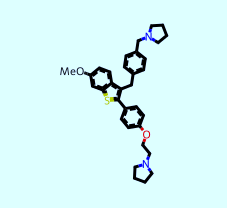 COc1ccc2c(Cc3ccc(CN4CCCC4)cc3)c(-c3ccc(OCCN4CCCC4)cc3)sc2c1